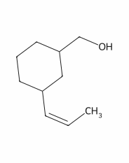 C/C=C\C1CCCC(CO)C1